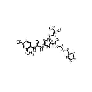 Cc1cc(Cl)ccc1NC(=O)Nc1cn(CC=C(Cl)Cl)c(C(=O)NCCCn2cccn2)n1